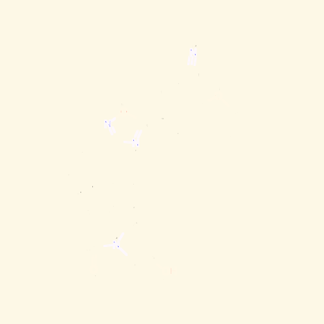 CC(C)Oc1ccc(-c2nc(-c3cccc4c3CC[C@]43CCC(=O)N(CCO)C3)no2)cc1C#N